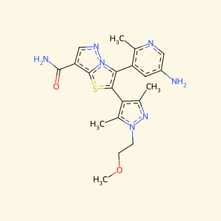 COCCn1nc(C)c(-c2sc3c(C(N)=O)cnn3c2-c2cc(N)cnc2C)c1C